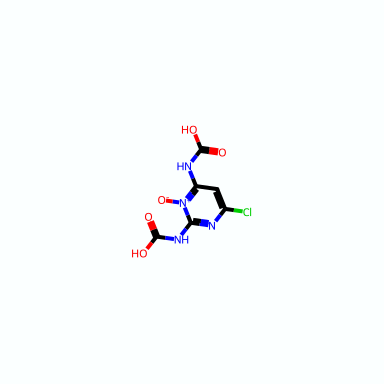 O=C(O)Nc1cc(Cl)nc(NC(=O)O)[n+]1[O-]